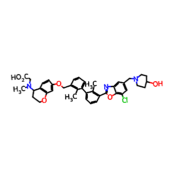 Cc1c(COc2ccc3c(c2)OCCC3N(C)CC(=O)O)cccc1-c1cccc(-c2nc3cc(CN4CCC(O)CC4)cc(Cl)c3o2)c1C